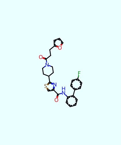 O=C(Nc1ccccc1-c1ccc(F)cc1)c1csc(C2CCN(C(=O)CCc3ccco3)CC2)n1